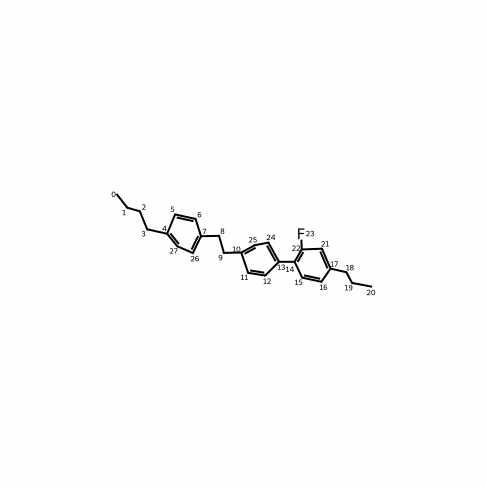 CCCCc1ccc(CCc2ccc(-c3ccc(CCC)cc3F)cc2)cc1